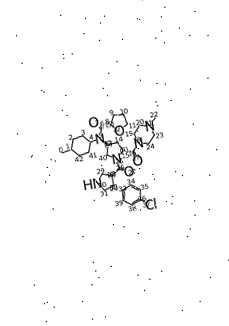 CC1CCC(N(C(=O)[C@@H]2CCCO2)[C@H]2C[C@H](C(=O)N3CCN(C)CC3)N(C(=O)[C@@H]3CNC[C@H]3c3ccc(Cl)cc3)C2)CC1